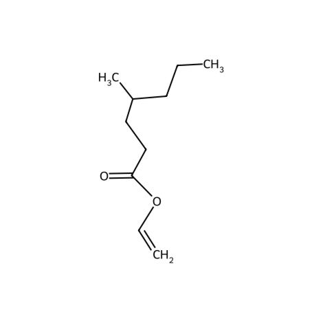 C=COC(=O)CCC(C)CCC